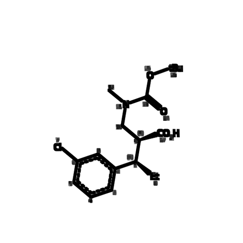 CC[C@@H](c1cccc(Cl)c1)[C@@H](CN(C)C(=O)OC(C)(C)C)C(=O)O